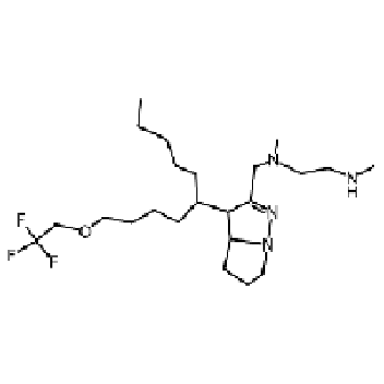 CCCCCC(CCCCOCC(F)(F)F)C1C(CN(C)CCNC)=NN2CCCC12